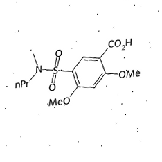 CCCN(C)S(=O)(=O)c1cc(C(=O)O)c(OC)cc1OC